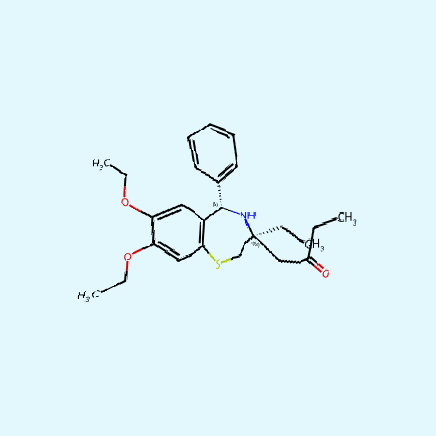 CCOc1cc2c(cc1OCC)[C@H](c1ccccc1)N[C@@](CC)(CC(=O)CC)CS2